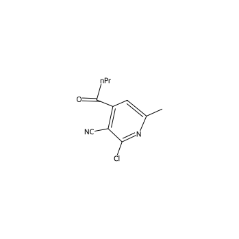 CCCC(=O)c1cc(C)nc(Cl)c1C#N